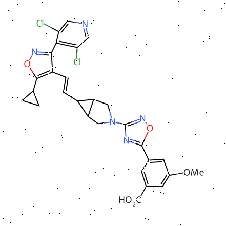 COc1cc(C(=O)O)cc(-c2nc(N3CC4C(/C=C/c5c(-c6c(Cl)cncc6Cl)noc5C5CC5)C4C3)no2)c1